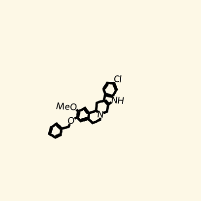 COc1cc2c(cc1OCc1ccccc1)CCN1Cc3[nH]c4cc(Cl)ccc4c3CC21